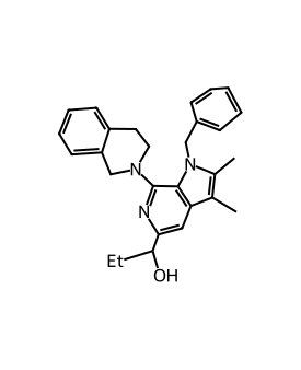 CCC(O)c1cc2c(C)c(C)n(Cc3ccccc3)c2c(N2CCc3ccccc3C2)n1